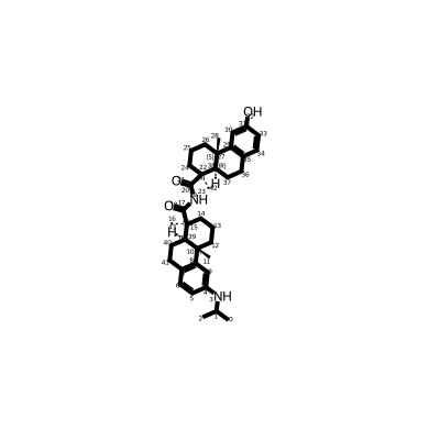 CC(C)Nc1ccc2c(c1)[C@@]1(C)CCC[C@](C)(C(=O)NC(=O)[C@@]3(C)CCC[C@]4(C)c5cc(O)ccc5CC[C@@H]34)[C@@H]1CC2